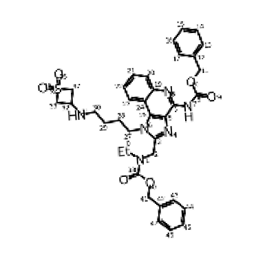 CCN(Cc1nc2c(NC(=O)OCc3ccccc3)nc3ccccc3c2n1CCCCNC1CS(=O)(=O)C1)C(=O)OCc1ccccc1